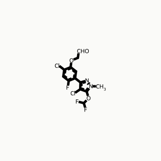 Cn1nc(-c2cc(OCC=O)c(Cl)cc2F)c(Cl)c1OC(F)F